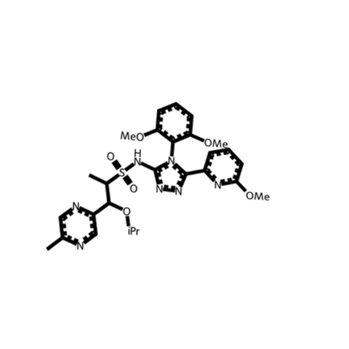 COc1cccc(-c2nnc(NS(=O)(=O)C(C)C(OC(C)C)c3cnc(C)cn3)n2-c2c(OC)cccc2OC)n1